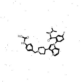 CC(C)N(C)C(=O)c1cc(F)ccc1-n1cc(C2CCN(Cc3ccc(NC(=O)O)cc3)CC2)c2ncccc21